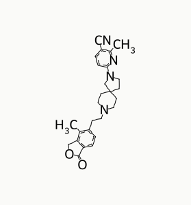 Cc1nc(N2CCC3(CCN(CCc4ccc5c(c4C)COC5=O)CC3)C2)ccc1C#N